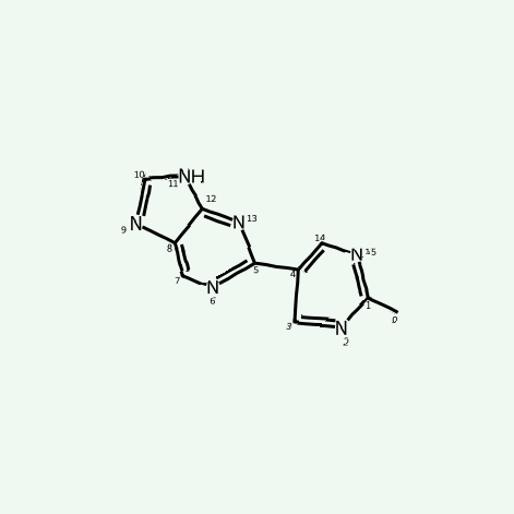 Cc1ncc(-c2ncc3nc[nH]c3n2)cn1